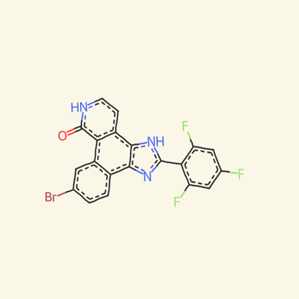 O=c1[nH]ccc2c3[nH]c(-c4c(F)cc(F)cc4F)nc3c3ccc(Br)cc3c12